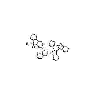 CC1(C)c2ccccc2-c2ccc(-c3nc(-n4c5ccccc5c5c6c7ccccc7sc6c6ccccc6c54)nc4cccnc34)cc21